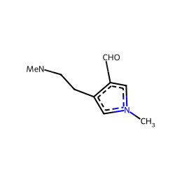 CNCCc1cn(C)cc1C=O